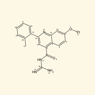 CCOc1ccc2c(C(=O)NC(=N)N)cc(-c3ccccc3C)nc2c1